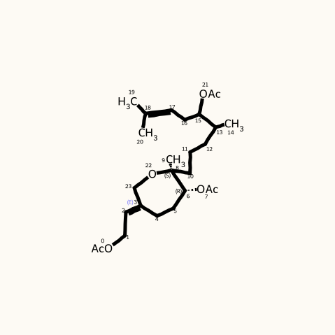 CC(=O)OC/C=C1\CC[C@@H](OC(C)=O)[C@](C)(CCCC(C)C(CC=C(C)C)OC(C)=O)OC1